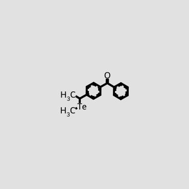 C[Te]C(C)c1ccc(C(=O)c2ccccc2)cc1